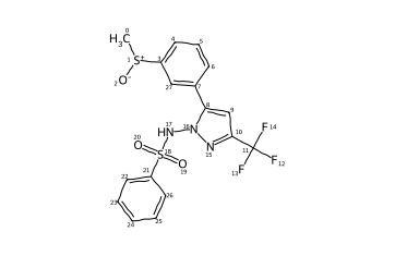 C[S+]([O-])c1cccc(-c2cc(C(F)(F)F)nn2NS(=O)(=O)c2ccccc2)c1